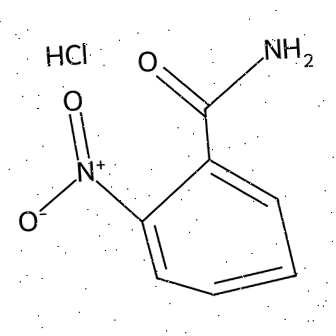 Cl.NC(=O)c1ccccc1[N+](=O)[O-]